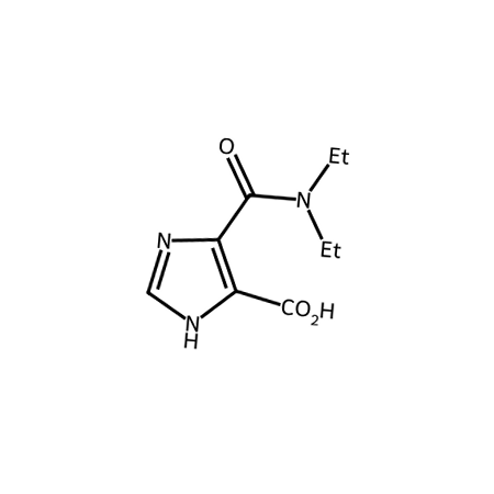 CCN(CC)C(=O)c1nc[nH]c1C(=O)O